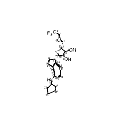 OC1C(O)[C@@H](COCC(F)(F)F)O[C@H]1n1cnc2c(NC3CCCC3)ncnc21